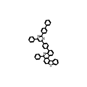 c1ccc(-c2ccc(-c3nc(-c4ccccc4)cc(-c4ccc(-c5cccc6c5nc(-c5ccccc5)c5ccc7sc8ccccc8c7c56)cc4)n3)cc2)cc1